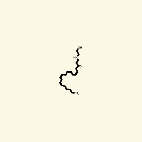 CCCCC/C=C\C/C=C\C/C=C\C/C=C\CC(=O)CCNCCO